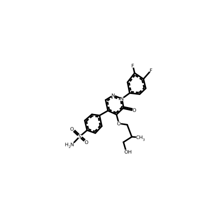 CC(CO)COc1c(-c2ccc(S(N)(=O)=O)cc2)cnn(-c2ccc(F)c(F)c2)c1=O